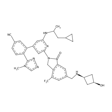 CC(CC1CC1)Nc1cc(-c2cc(C#N)ccc2-c2nncn2C)cc(N2Cc3c(cc(CN[C@H]4C[C@@H](O)C4)cc3C(F)(F)F)C2=O)n1